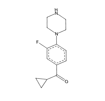 O=C(c1ccc(N2CCNCC2)c(F)c1)C1CC1